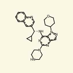 c1ccc2ncc([C@H](Nc3nc(N4CCNCC4)nc4cnn(C5CCOCC5)c34)C3CC3)cc2c1